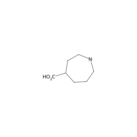 O=C(O)C1CCC[N]CC1